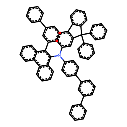 c1ccc(-c2cccc(-c3ccc(N(c4ccc5c(c4)C(c4ccccc4)(c4ccccc4)c4ccccc4-5)c4c(-c5cccc(-c6ccccc6)c5)c5ccccc5c5ccccc45)cc3)c2)cc1